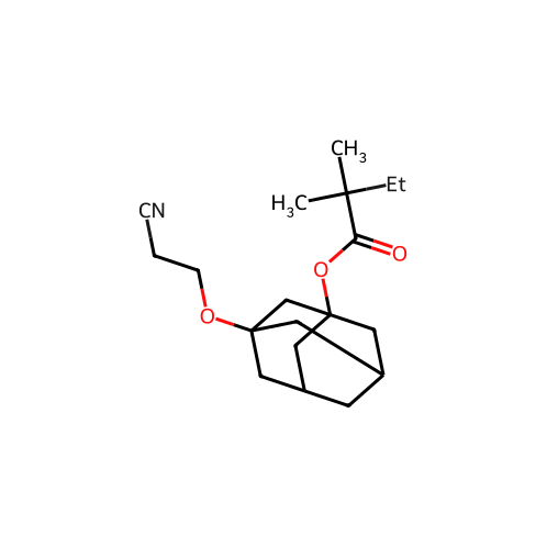 CCC(C)(C)C(=O)OC12CC3CC(CC(OCCC#N)(C3)C1)C2